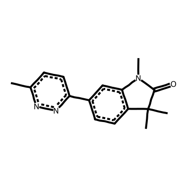 Cc1ccc(-c2ccc3c(c2)N(C)C(=O)C3(C)C)nn1